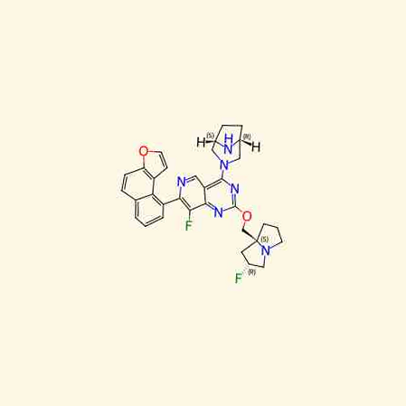 Fc1c(-c2cccc3ccc4occc4c23)ncc2c(N3C[C@H]4CC[C@@H](C3)N4)nc(OC[C@@]34CCCN3C[C@H](F)C4)nc12